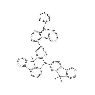 CC1(C)c2ccccc2-c2ccc(N3c4ccc(-c5cccc6c5c5ccccc5n6-c5ccccc5)cc4C4(C)c5ccccc5-c5cccc3c54)cc21